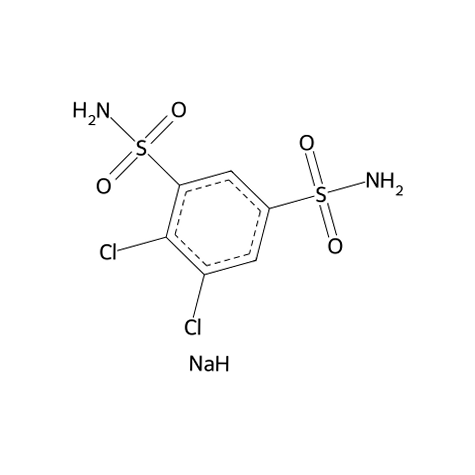 NS(=O)(=O)c1cc(Cl)c(Cl)c(S(N)(=O)=O)c1.[NaH]